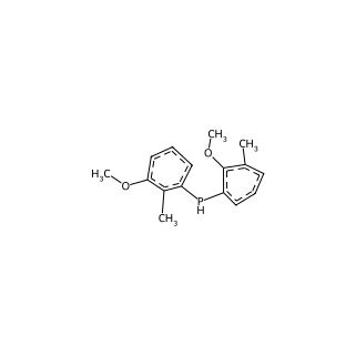 COc1cccc(Pc2cccc(C)c2OC)c1C